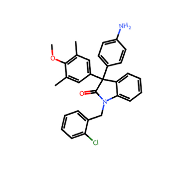 COc1c(C)cc(C2(c3ccc(N)cc3)C(=O)N(Cc3ccccc3Cl)c3ccccc32)cc1C